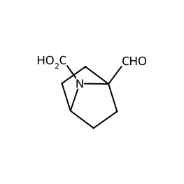 O=CC12CCC(CC1)N2C(=O)O